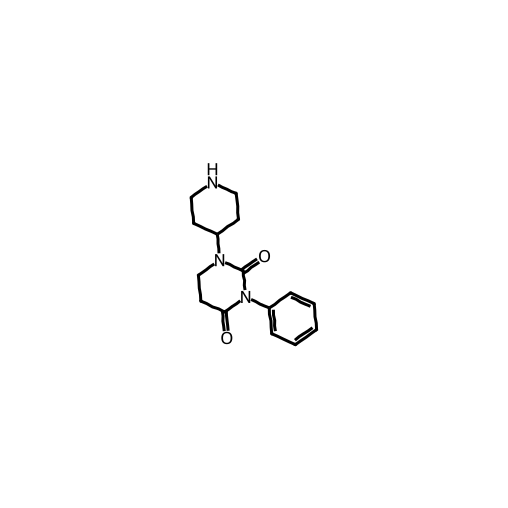 O=C1CCN(C2CCNCC2)C(=O)N1c1ccccc1